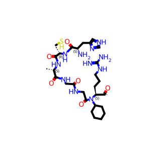 C[C@H](NC(=O)[C@H](CS)NC(=O)[C@@H](N)Cc1c[nH]cn1)C(=O)NCC(=O)NCC(=O)N(C1CCCCC1)[C@H]([C]=O)CCCNC(=N)N